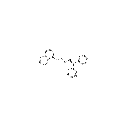 c1ccc(C(=NOCCc2cccc3ccccc23)c2cccnc2)cc1